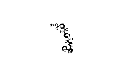 CC(C)(C)OC(=O)N1CCC[C@H](C(=O)Nc2ccc(NC(=O)c3csc(-c4ccnn4C4CCCCO4)n3)nc2)C1